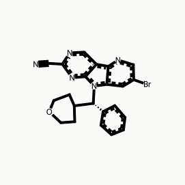 N#Cc1ncc2c3ncc(Br)cc3n([C@H](c3ccccc3)C3CCOCC3)c2n1